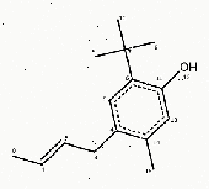 CC=CCc1cc(C(C)(C)C)c(O)cc1C